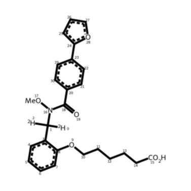 [2H]C([2H])(c1ccccc1OCCCCCC(=O)O)N(OC)C(=O)c1ccc(-c2ccco2)cc1